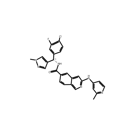 Cc1cc(Nc2cc3cc(C(=O)N[C@@H](c4ccc(Cl)c(F)c4)c4cnn(C)c4)ccc3cn2)ccn1